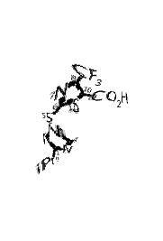 CC(C)c1ncn(Sc2nc(C(F)(F)F)c(C(=O)O)s2)n1